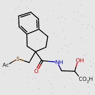 CC(=O)SCC1(C(=O)NCC(O)C(=O)O)CCc2ccccc2C1